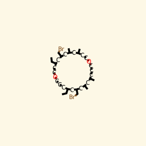 CCC1CCCOCCC(CC)CC(CBr)CC(C)CC(C)CCOCCCC(C)CC(C)CC(CBr)C1